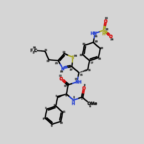 COC(=O)N[C@@H](Cc1ccccc1)C(=O)N[C@@H](CC1=CCC(N[SH](=O)=O)C=C1)c1nc(CCC(F)(F)F)cs1